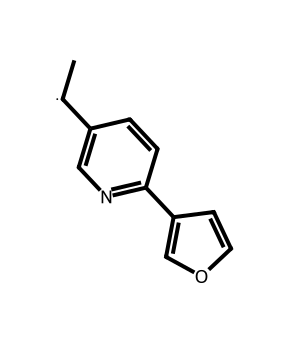 C[CH]c1ccc(-c2ccoc2)nc1